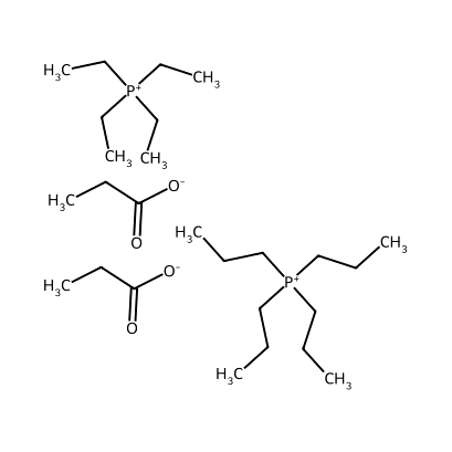 CCC(=O)[O-].CCC(=O)[O-].CCC[P+](CCC)(CCC)CCC.CC[P+](CC)(CC)CC